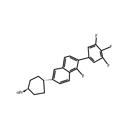 CCC[C@H]1CC[C@H](c2ccc3c(F)c(-c4cc(F)c(F)c(F)c4)ccc3c2)CC1